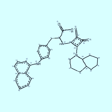 O=C(O)C(Cc1ccc(Nc2nccc3ccccc23)cc1)Nc1c(N2CCCC3CCCCC32)c(=O)c1=O